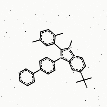 Cc1ccc(C)c(-c2n(-c3ccc(-c4ccccc4)cc3)c3cc(C(C)(C)C)ccc3[n+]2C)c1